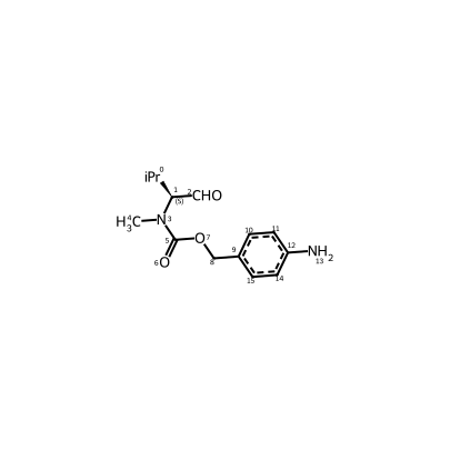 CC(C)[C@@H](C=O)N(C)C(=O)OCc1ccc(N)cc1